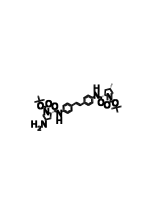 C[C@H]1C[C@@H](C(=O)Nc2ccc(/C=C/c3ccc(NC(=O)[C@@H]4C[C@H](N)CN4C(=O)OC(C)(C)C)cc3)cc2)N(C(=O)OC(C)(C)C)C1